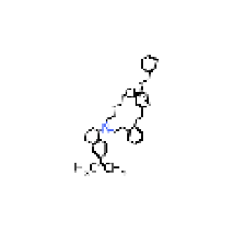 C=CCCCCN(CCc1ccccc1CCc1ccc(CCc2ccccc2)cc1)C1CCCc2cc(C(=C)C)ccc21